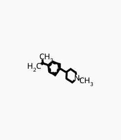 C=C(C)c1ccc(C2CCN(C)CC2)cc1